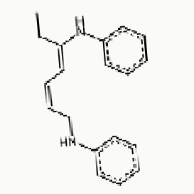 CC/C(=C\C=C/CNc1ccccc1)Nc1ccccc1